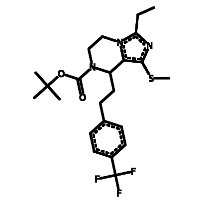 CCc1nc(SC)c2n1CCN(C(=O)OC(C)(C)C)C2CCc1ccc(C(F)(F)F)cc1